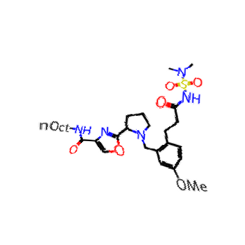 CCCCCCCCNC(=O)c1coc(C2CCCN2Cc2cc(OC)ccc2CCC(=O)NS(=O)(=O)N(C)C)n1